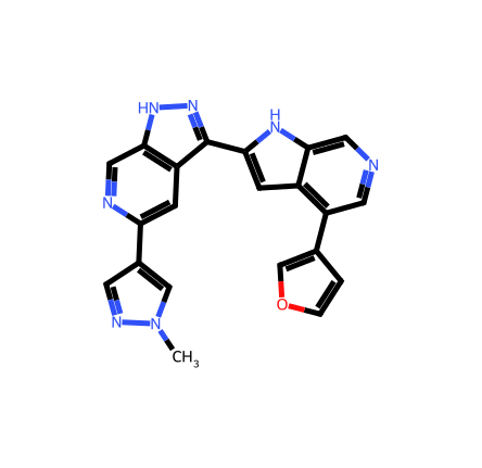 Cn1cc(-c2cc3c(-c4cc5c(-c6ccoc6)cncc5[nH]4)n[nH]c3cn2)cn1